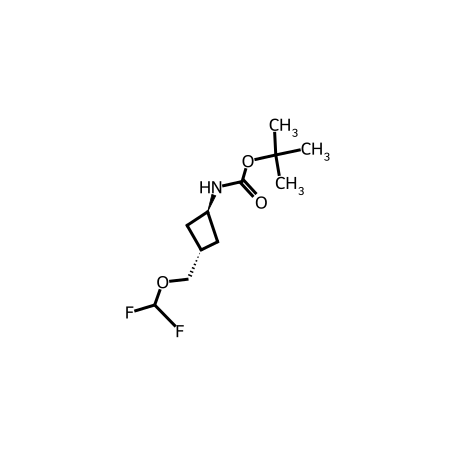 CC(C)(C)OC(=O)N[C@H]1C[C@H](COC(F)F)C1